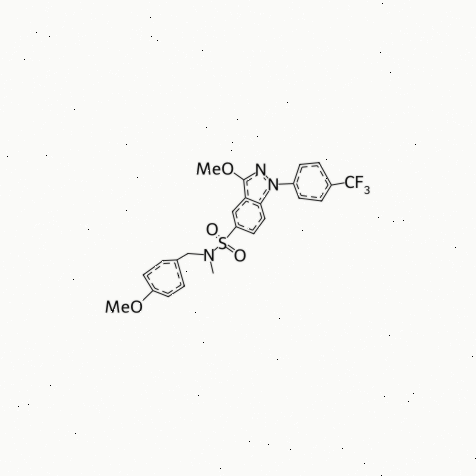 COc1ccc(CN(C)S(=O)(=O)c2ccc3c(c2)c(OC)nn3-c2ccc(C(F)(F)F)cc2)cc1